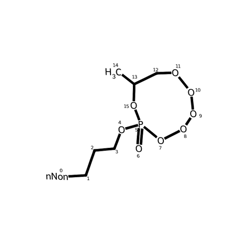 CCCCCCCCCCCCOP1(=O)OOOOOCC(C)O1